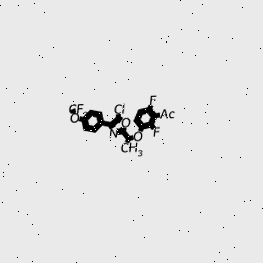 CC(=O)c1c(F)ccc(OC(C)c2nc(-c3ccc(OC(F)(F)F)cc3)c(Cl)o2)c1F